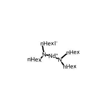 CCCCCC[N](CCCCCC)[Nd+][N](CCCCCC)CCCCCC.[I-]